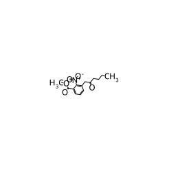 CCCCC(=O)Cc1cccc(C(=O)OC)c1[N+](=O)[O-]